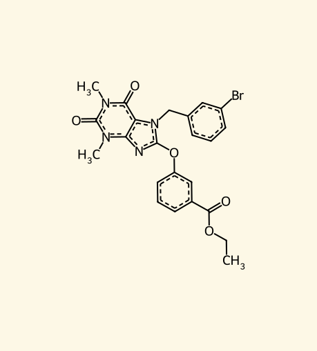 CCOC(=O)c1cccc(Oc2nc3c(c(=O)n(C)c(=O)n3C)n2Cc2cccc(Br)c2)c1